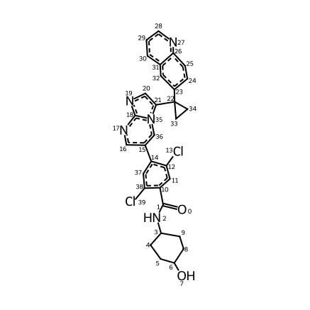 O=C(NC1CCC(O)CC1)c1cc(Cl)c(-c2cnc3ncc(C4(c5ccc6ncccc6c5)CC4)n3c2)cc1Cl